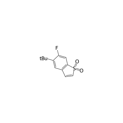 CC(C)(C)c1cc2c(cc1F)S(=O)(=O)C=C2